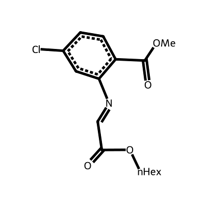 CCCCCCOC(=O)C=Nc1cc(Cl)ccc1C(=O)OC